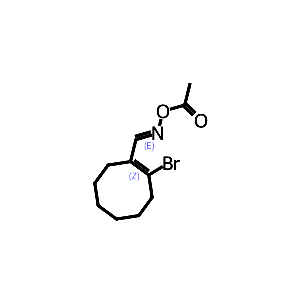 CC(=O)O/N=C/C1=C(\Br)CCCCCC1